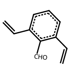 C=Cc1cccc(C=C)c1C=O